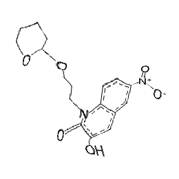 O=c1c(O)cc2cc([N+](=O)[O-])ccc2n1CCCOC1CCCCO1